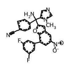 Cn1cncc1C(N)(c1ccc(C#N)cc1)c1cc2cc([N+](=O)[O-])cc(-c3cc(F)cc(F)c3)c2o1